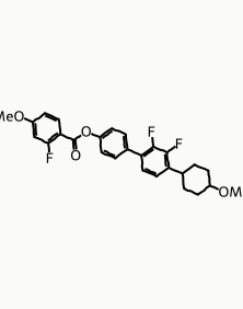 COc1ccc(C(=O)Oc2ccc(-c3ccc(C4CCC(OC)CC4)c(F)c3F)cc2)c(F)c1